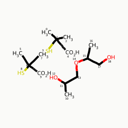 CC(C)(S)C(=O)O.CC(C)(S)C(=O)O.CC(O)COC(C)CO